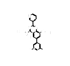 COc1cc(-c2cc(F)cc(F)c2)cc2c(N(C)C)nc(-c3cccnc3)nc12